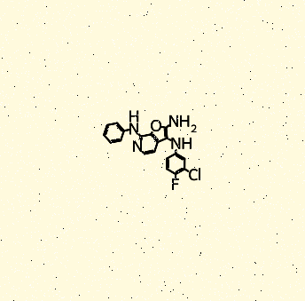 Nc1oc2c(Nc3ccccc3)nccc2c1Nc1ccc(F)c(Cl)c1